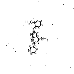 Cc1ccccc1Cn1cc2c(N)nc(-c3cnccn3)nc2n1